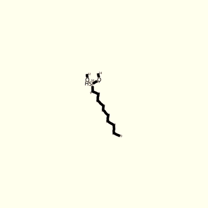 CCCCCCCCCC[SiH](OC)OC